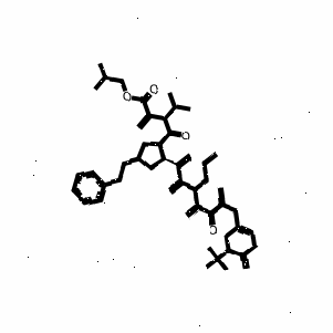 C=C(CC1=CCC(=C)C(C(C)(C)C)C1)C(=O)C(=C)C(CCC)C(=C)C(=C)[C@H]1CC(CCc2ccccc2)CC1C(=O)C(C(=C)C(=O)OCC(C)C)C(C)C